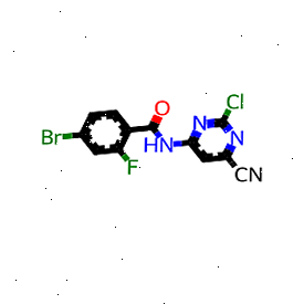 N#Cc1cc(NC(=O)c2ccc(Br)cc2F)nc(Cl)n1